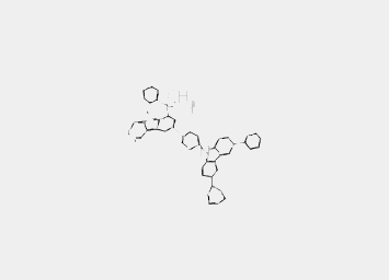 CC1(C)c2ccccc2-n2c3ccncc3c3cc(-c4ccc(-n5c6ccc(-c7ccccc7)cc6c6cc(-c7ccccc7)ccc65)cc4)cc1c32